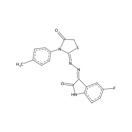 Cc1ccc(N2C(=O)CSC2=NN=C2C(=O)Nc3ccc(F)cc32)cc1